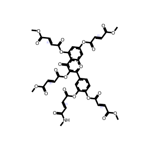 CNC(=O)/C=C/C(=O)Oc1cc(-c2oc3cc(OC(=O)/C=C/C(=O)OC)cc(OC(=O)/C=C/C(=O)OC)c3c(=O)c2OC(=O)/C=C/C(=O)OC)ccc1OC(=O)/C=C/C(=O)OC